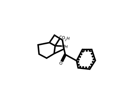 O=C(NC1(C(=O)O)C2CCCC1CCC2)c1ccccc1